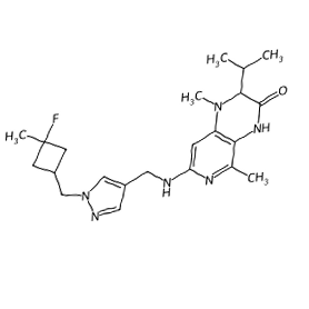 Cc1nc(NCc2cnn(CC3CC(C)(F)C3)c2)cc2c1NC(=O)C(C(C)C)N2C